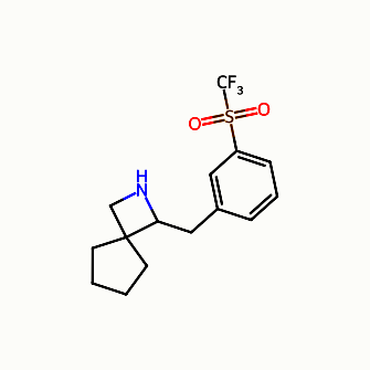 O=S(=O)(c1cccc(CC2NCC23CCCC3)c1)C(F)(F)F